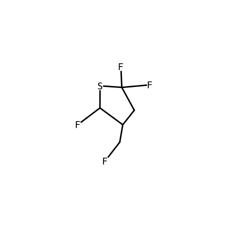 FCC1CC(F)(F)SC1F